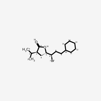 CC(C)[C@@H]1C[C@@H]([C@H](Br)CCC2CCCCC2)OC1=O